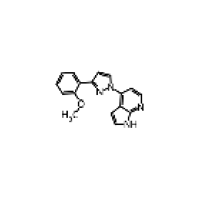 COc1ccccc1-c1ccn(-c2ccnc3[nH]ccc23)n1